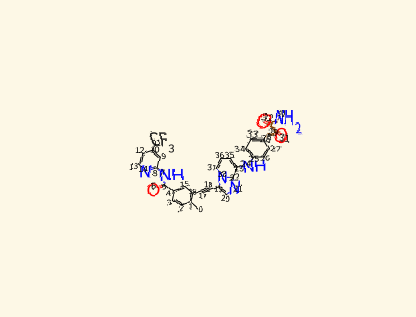 Cc1ccc(C(=O)Nc2cc(C(F)(F)F)ccn2)cc1C#Cc1cnc2c(Nc3ccc(S(N)(=O)=O)cc3)cccn12